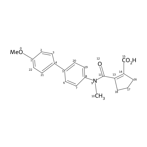 COc1ccc(-c2ccc(N(C)C(=O)C3=C(C(=O)O)CCC3)cc2)cc1